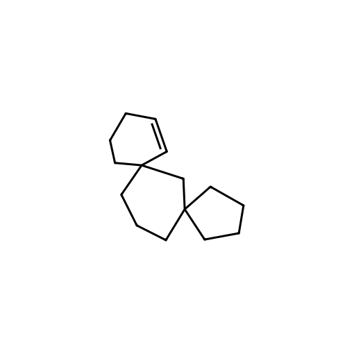 C1=CC2(CCC1)CCCC1(CCCC1)C2